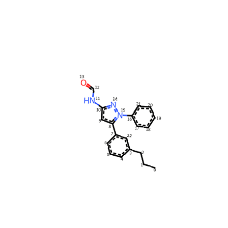 CCCc1cccc(-c2cc(NC=O)nn2-c2ccccc2)c1